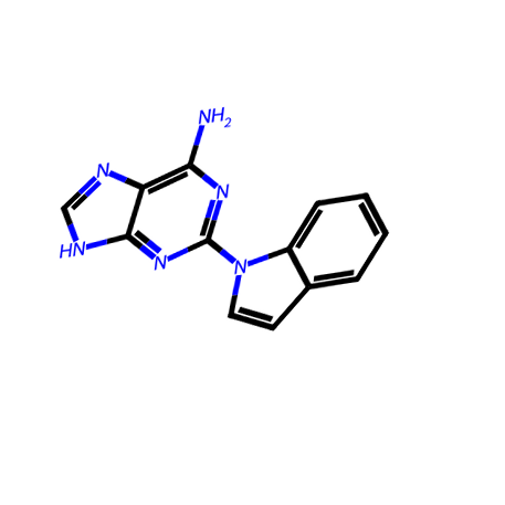 Nc1nc(-n2ccc3ccccc32)nc2[nH]cnc12